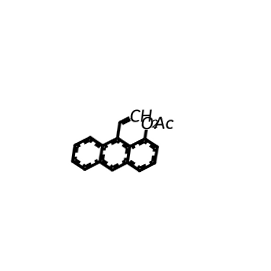 C=Cc1c2ccccc2cc2cccc(OC(C)=O)c12